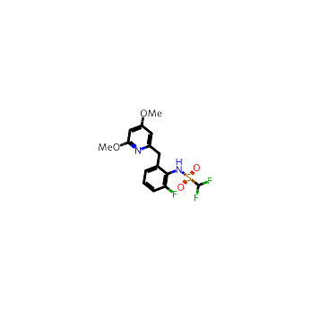 COc1cc(Cc2cccc(F)c2NS(=O)(=O)C(F)F)nc(OC)c1